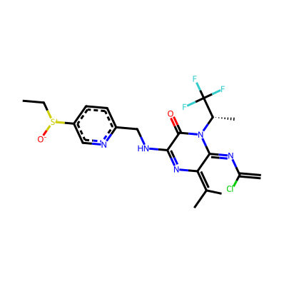 C=C(Cl)/N=C1\C(=C(C)C)N=C(NCc2ccc([S+]([O-])CC)cn2)C(=O)N1[C@@H](C)C(F)(F)F